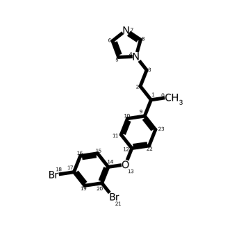 CC(CCn1ccnc1)c1ccc(Oc2ccc(Br)cc2Br)cc1